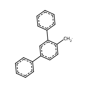 [CH2]c1ccc(-c2ccccc2)cc1-c1ccccc1